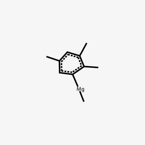 [CH3][Mg][c]1cc(C)cc(C)c1C